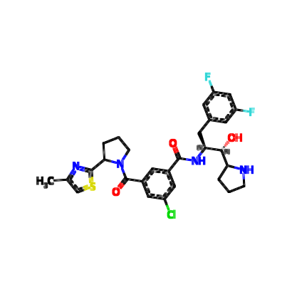 Cc1csc(C2CCCN2C(=O)c2cc(Cl)cc(C(=O)N[C@@H](Cc3cc(F)cc(F)c3)[C@H](O)C3CCCN3)c2)n1